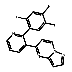 Fc1cc(F)c(-c2ncccc2-c2ccn3nccc3n2)cc1F